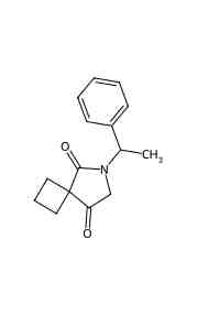 CC(c1ccccc1)N1CC(=O)C2(CCC2)C1=O